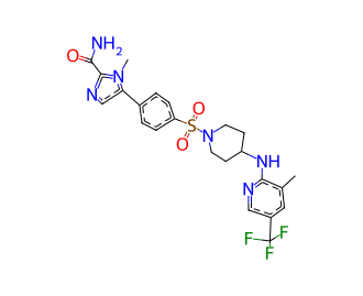 Cc1cc(C(F)(F)F)cnc1NC1CCN(S(=O)(=O)c2ccc(-c3cnc(C(N)=O)n3C)cc2)CC1